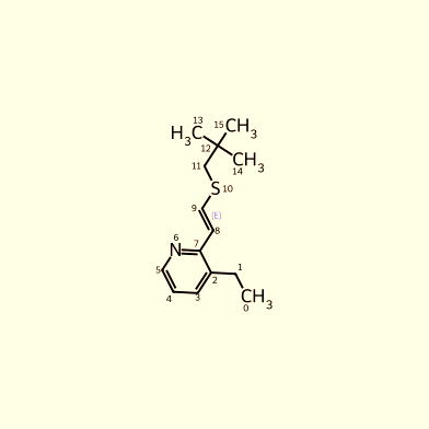 CCc1cccnc1/C=C/SCC(C)(C)C